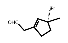 CC(C)[C@@]1(C)C=C(CC=O)CC1